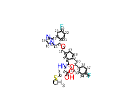 CSCC[C@H](NC(=O)c1cc(COC(Cn2ccnc2)c2ccc(F)cc2)ccc1CCc1ccc(F)cc1)C(=O)O